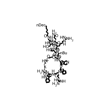 CCCCCCCCCCCCCCCC(=O)NCC(=O)NC(CO)C(=O)N[C@@H](CCC(N)=O)C(=O)NC(CCCCNC(=N)N)C(=O)NC(CO)C(=O)N[C@@H](CCCC)C(=O)N[C@H]1CCC(=O)CNCCCC[C@@H](C(N)=O)NC(=O)[C@H](Cc2c[nH]c3ccccc23)NC(=O)[C@H](CCCNC(=N)N)NC(=O)[C@@H](Cc2ccccc2)NC(=O)[C@H](Cc2cccnc2)NC1=O